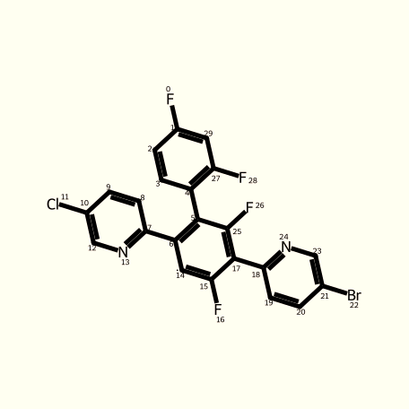 Fc1ccc(-c2c(-c3ccc(Cl)cn3)[c]c(F)c(-c3ccc(Br)cn3)c2F)c(F)c1